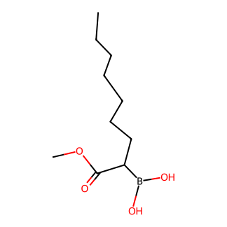 CCCCCCCC(B(O)O)C(=O)OC